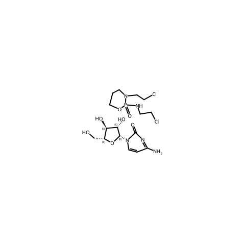 Nc1ccn([C@@H]2O[C@H](CO)[C@@H](O)[C@@H]2O)c(=O)n1.O=P1(NCCCl)OCCCN1CCCl